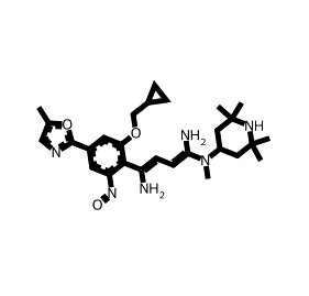 Cc1cnc(-c2cc(N=O)c(/C(N)=C/C=C(\N)N(C)C3CC(C)(C)NC(C)(C)C3)c(OCC3CC3)c2)o1